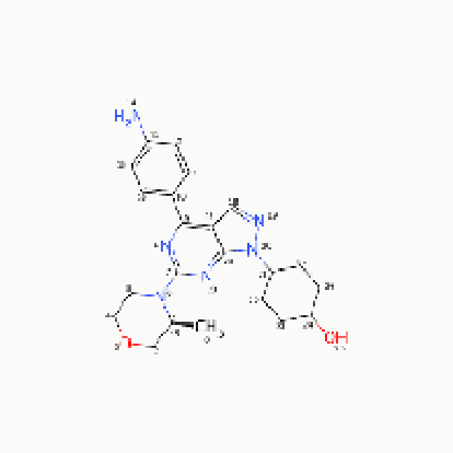 C[C@H]1COCCN1c1nc(-c2ccc(N)cc2)c2cnn(C3CCC(O)CC3)c2n1